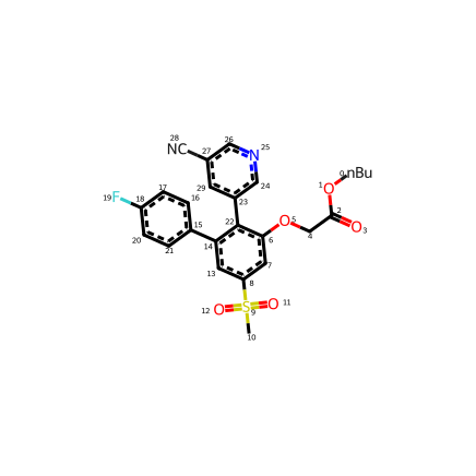 CCCCOC(=O)COc1cc(S(C)(=O)=O)cc(-c2ccc(F)cc2)c1-c1cncc(C#N)c1